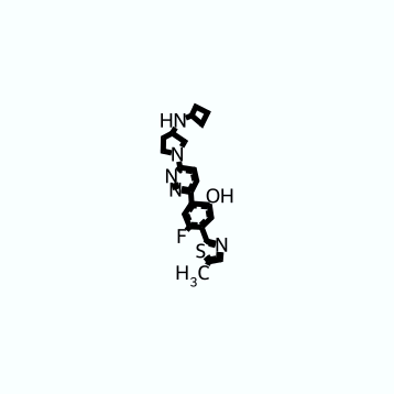 Cc1cnc(-c2cc(O)c(-c3ccc(N4CCC(NC5CCC5)C4)nn3)cc2F)s1